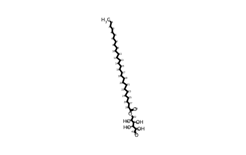 CCCCCCCCCCCCCCCCCCCCCCCCCCCCCC(=O)OC[C@@H](O)[C@@H](O)[C@H](O)[C@@H](O)C=O